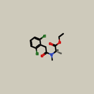 CCOC(=O)[C@H](C)N(C)C(=O)Cc1c(Cl)cccc1Cl